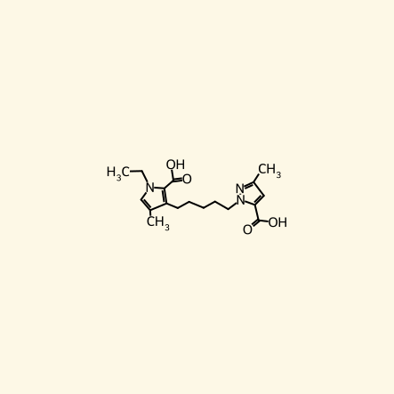 CCn1cc(C)c(CCCCCn2nc(C)cc2C(=O)O)c1C(=O)O